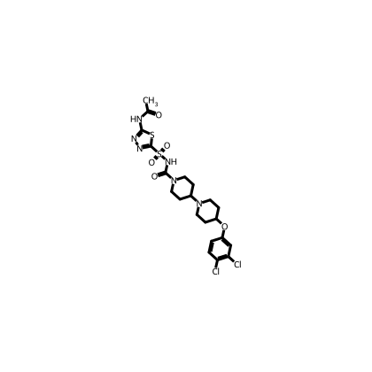 CC(=O)Nc1nnc(S(=O)(=O)NC(=O)N2CCC(N3CCC(Oc4ccc(Cl)c(Cl)c4)CC3)CC2)s1